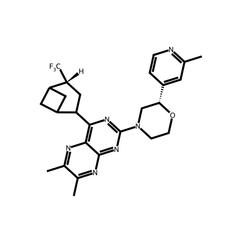 Cc1cc([C@H]2CN(c3nc(C4C[C@@H](C(F)(F)F)C5CC4C5)c4nc(C)c(C)nc4n3)CCO2)ccn1